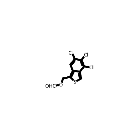 O=COCc1scc2c(Cl)c(Cl)c(Cl)cc12